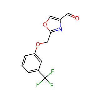 O=Cc1coc(COc2cccc(C(F)(F)F)c2)n1